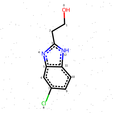 OCCc1nc2cc(Cl)ccc2[nH]1